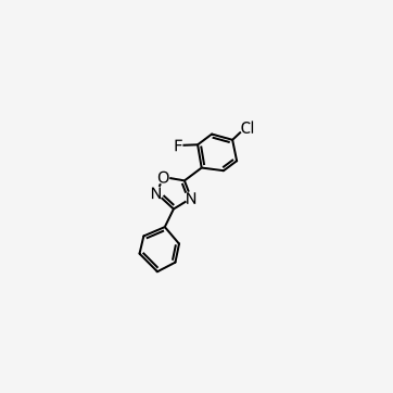 Fc1cc(Cl)ccc1-c1nc(-c2ccccc2)no1